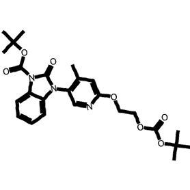 Cc1cc(OCCOC(=O)OC(C)(C)C)ncc1-n1c(=O)n(C(=O)OC(C)(C)C)c2ccccc21